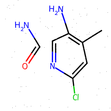 Cc1cc(Cl)ncc1N.NC=O